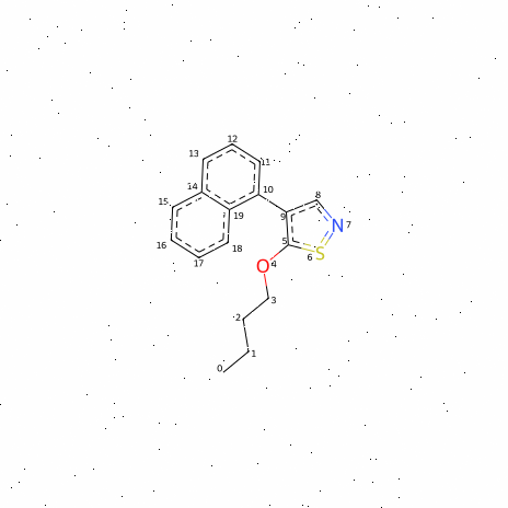 CCCCOc1sn[c]c1-c1cccc2ccccc12